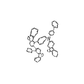 C1=c2oc3cc(N(c4ccc(-c5ccccc5)cc4)c4ccc(-c5c(-c6ccc7oc8ccccc8c7c6-c6ccccc6)ccc6oc7ccccc7c56)cc4)ccc3c2=CCC1